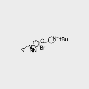 CC(C)(C)CN1CCC(COc2ccc3c(nnn3CC3CC3)c2Br)CC1